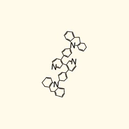 C1=CC2=C(CC1)Cc1ccccc1N2c1ccc(-c2ccncc2-c2cnccc2C2=CCC(N3C4=C(CCC=C4)Cc4ccccc43)C=C2)cc1